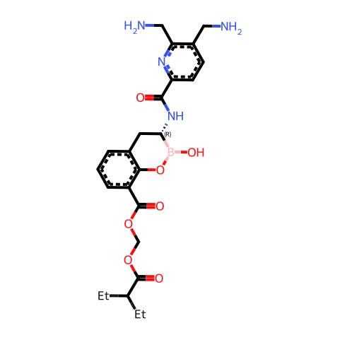 CCC(CC)C(=O)OCOC(=O)c1cccc2c1OB(O)[C@@H](NC(=O)c1ccc(CN)c(CN)n1)C2